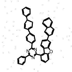 C1=CC(c2ccccc2)CC=C1c1ccc(-c2nc(-c3ccccc3)nc(-c3cccc4oc5cc(-c6ccc7ccccc7c6)ccc5c34)n2)cc1